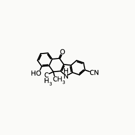 CC1(C)c2[nH]c3cc(C#N)ccc3c2C(=O)c2cccc(O)c21